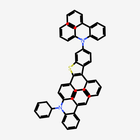 C1=CCC(N(c2ccc3c(c2)c2ccccc2c2c4ccc(N(c5ccccc5)c5ccccc5-c5ccccc5)cc4sc32)c2ccccc2-c2ccccc2)C=C1